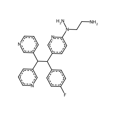 NCCN(N)c1ccc(C(c2ccc(F)cc2)C(c2cccnc2)c2cccnc2)cn1